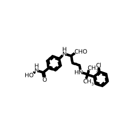 CC(C)(NCCC(C=O)Nc1ccc(C(=O)NO)cc1)c1ccccc1Cl